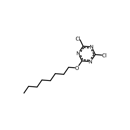 CCCCCCCCOc1nc(Cl)nc(Cl)n1